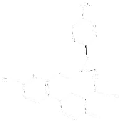 COc1ccc([C@H]2C[C@@H]2COc2nc(C)ncc2-c2ccc(=O)n(C(C)C(=O)O)c2)nc1